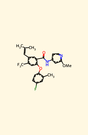 COc1cc(NC(=O)c2cc(C=C(C)C)c(C(F)(F)F)cc2Oc2ccc(F)cc2C)ccn1